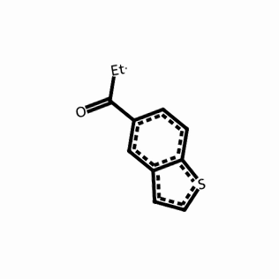 C[CH]C(=O)c1ccc2sccc2c1